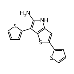 Nc1[nH]c2cc(-c3cccs3)sc2c1-c1cccs1